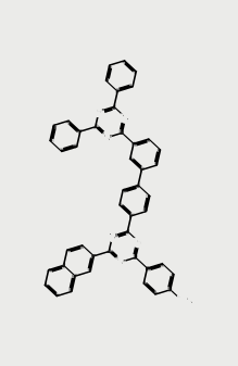 N#Cc1ccc(-c2nc(-c3ccc(-c4cccc(-c5nc(-c6ccccc6)nc(-c6ccccc6)n5)c4)cc3)nc(-c3ccc4ccccc4c3)n2)cc1